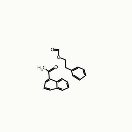 CC(=O)c1cccc2ccccc12.O=COCCc1ccccc1